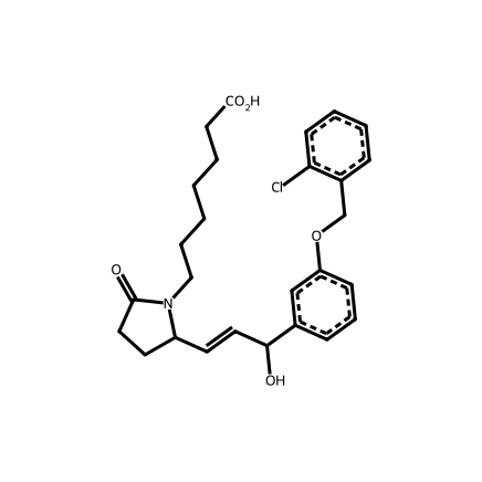 O=C(O)CCCCCCN1C(=O)CCC1C=CC(O)c1cccc(OCc2ccccc2Cl)c1